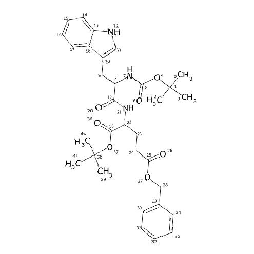 CC(C)(C)OC(=O)NC(Cc1c[nH]c2ccccc12)C(=O)NC(CCC(=O)OCc1ccccc1)C(=O)OC(C)(C)C